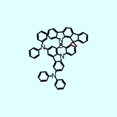 CC1(C)c2ccccc2-c2ccc3c4ccccc4n(B4c5ccccc5-n5c6ccc(N(c7ccccc7)c7ccccc7)cc6c6cc(N(c7ccccc7)c7ccccc7)cc4c65)c3c21